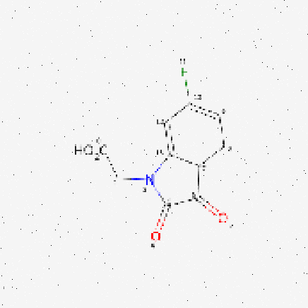 O=C(O)CN1C(=O)C(=O)C2CC=C(F)C=C21